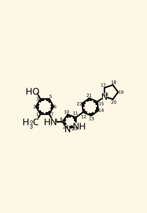 Cc1cc(O)ccc1Nc1cc(-c2ccc(N3CCCC3)cc2)[nH]n1